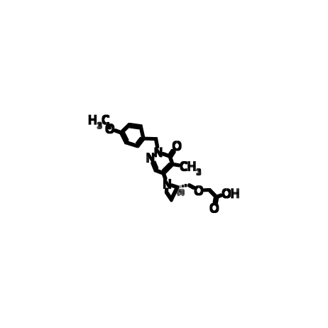 COc1ccc(Cn2ncc(N3CC[C@H]3COCC(=O)O)c(C)c2=O)cc1